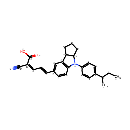 CCC(C)c1ccc(N2c3ccc(C=CC=C(C#N)C(=O)O)cc3C3CCCC32)cc1